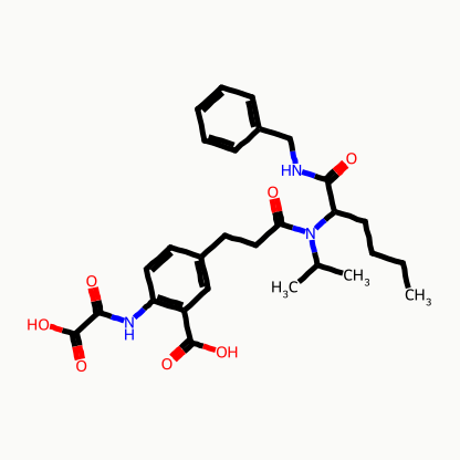 CCCCC(C(=O)NCc1ccccc1)N(C(=O)CCc1ccc(NC(=O)C(=O)O)c(C(=O)O)c1)C(C)C